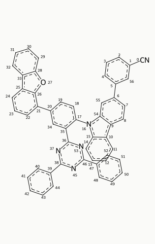 N#Cc1cccc(-c2ccc3c4ccccc4n(-c4ccc(-c5cccc6c5oc5ccccc56)cc4-c4nc(-c5ccccc5)nc(-c5ccccc5)n4)c3c2)c1